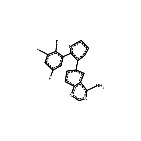 Nc1ncnc2ccc(-c3cccnc3-c3cc(F)cc(F)c3F)cc12